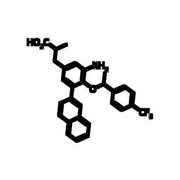 CC(Cc1cc(N)c(OC(C)c2ccc(C(F)(F)F)cc2)c(-c2ccc3ccccc3c2)c1)C(=O)O